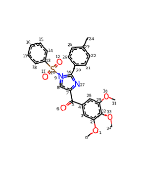 COc1cc(C(=O)c2cn(S(=O)(=O)c3ccccc3)c(-c3ccc(C)cc3)n2)cc(OC)c1OC